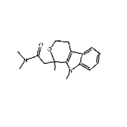 CN(C)C(=O)CC1(C)OCCc2c1n(C)c1ccccc21